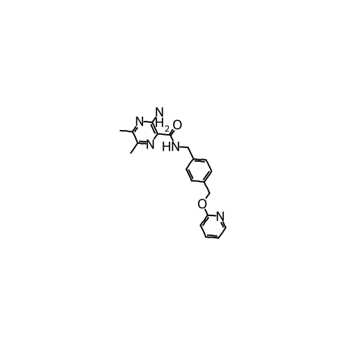 Cc1nc(N)c(C(=O)NCc2ccc(COc3ccccn3)cc2)nc1C